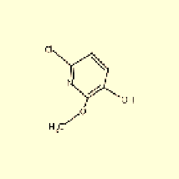 COc1nc(Cl)ccc1O